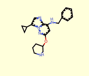 c1ccc(CNc2cc(OC3CCCNC3)nn3c(C4CC4)cnc23)cc1